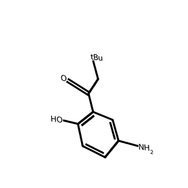 CC(C)(C)CC(=O)c1cc(N)ccc1O